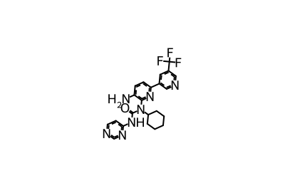 Nc1ccc(-c2cncc(C(F)(F)F)c2)nc1N(C(=O)Nc1ccncn1)C1CCCCC1